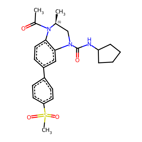 CC(=O)N1c2ccc(-c3ccc(S(C)(=O)=O)cc3)cc2N(C(=O)NC2CCCC2)C[C@@H]1C